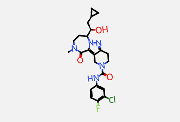 CN1CCC(C(O)CC2CC2)n2nc3c(c2C1=O)CN(C(=O)Nc1ccc(F)c(Cl)c1)CC3